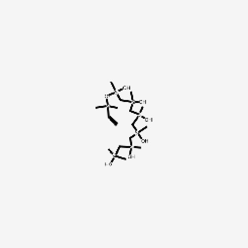 C=C[Si](C)(C)O[Si](C)(O)C[Si](C)(O)C[Si](C)(O)C[Si](C)(O)C[Si](C)(O)C[Si](C)(C)O